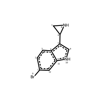 Brc1ccc2c(C3CN3)c[nH]c2c1